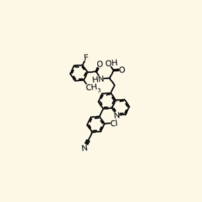 Cc1cccc(F)c1C(=O)NC(Cc1ccc(-c2ccc(C#N)cc2Cl)c2ncccc12)C(=O)O